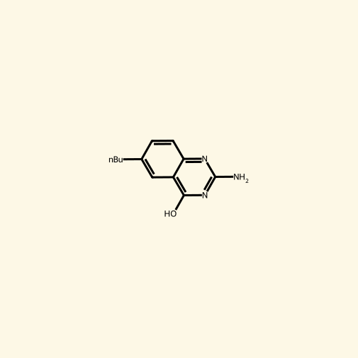 CCCCc1ccc2nc(N)nc(O)c2c1